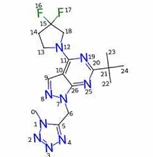 Cn1nnnc1Cn1ncc2c(N3CCC(F)(F)C3)nc(C(C)(C)C)nc21